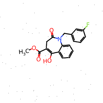 COC(=O)C1=C(O)c2ccccc2N(Cc2cccc(F)c2)C(=O)C1